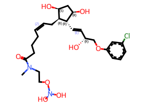 CN(CCON(O)O)C(=O)CCC/C=C\C[C@@H]1[C@@H](/C=C/[C@@H](O)COc2cccc(Cl)c2)[C@H](O)C[C@@H]1O